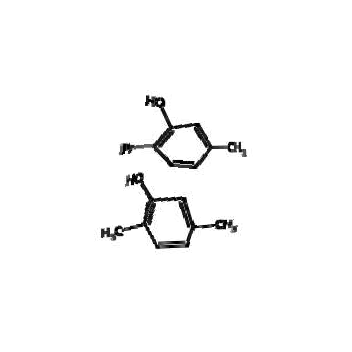 Cc1ccc(C(C)C)c(O)c1.Cc1ccc(C)c(O)c1